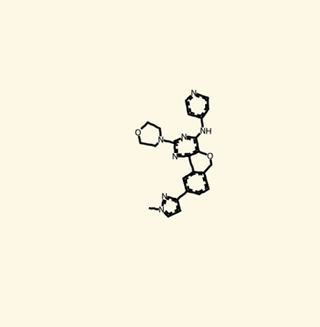 Cn1ccc(-c2ccc3c(c2)-c2nc(N4CCOCC4)nc(Nc4ccncc4)c2OC3)n1